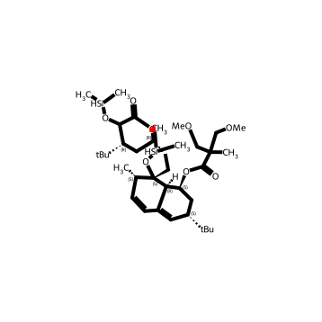 COCC(C)(COC)C(=O)O[C@H]1C[C@H](C(C)(C)C)C=C2C=C[C@H](C)[C@](CC[C@@H]3C[C@H](C(C)(C)C)C(O[SiH](C)C)C(=O)O3)(O[SiH](C)C)[C@H]21